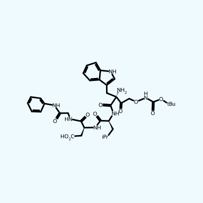 CC(C)C[C@H](NC(=O)[C@@](N)(Cc1c[nH]c2ccccc12)C(=O)CONC(=O)OC(C)(C)C)C(=O)N[C@@H](CC(=O)O)C(=O)NCC(=O)Nc1ccccc1